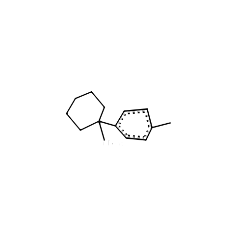 CCCCCC1(c2ccc(C)cc2)CCCCC1